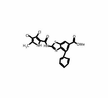 COC(=O)c1cc(-c2ccccc2)c2nc(NC(=O)c3[nH]c(C)c(Cl)c3Cl)sc2c1